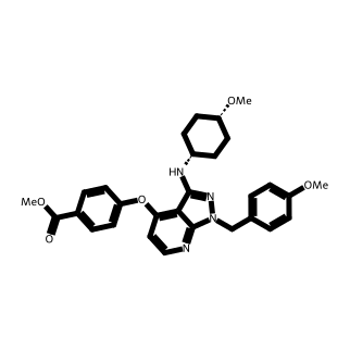 COC(=O)c1ccc(Oc2ccnc3c2c(N[C@H]2CC[C@@H](OC)CC2)nn3Cc2ccc(OC)cc2)cc1